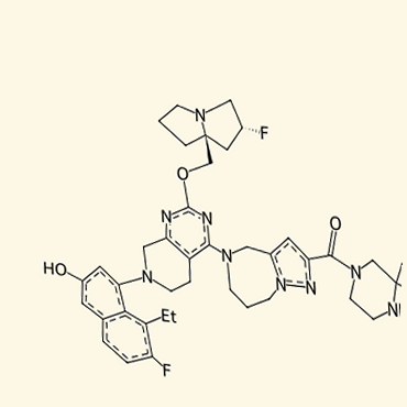 CCc1c(F)ccc2cc(O)cc(N3CCc4c(nc(OC[C@@]56CCCN5C[C@H](F)C6)nc4N4CCCn5nc(C(=O)N6CCNC(C)(C)C6)cc5C4)C3)c12